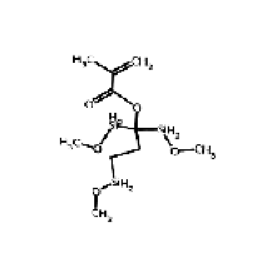 C=C(C)C(=O)OC(CC[SiH2]OC)([SiH2]OC)[SiH2]OC